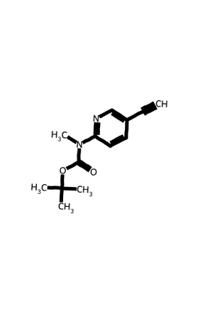 C#Cc1ccc(N(C)C(=O)OC(C)(C)C)nc1